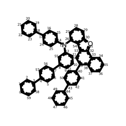 c1ccc(-c2ccc(-c3cccc(N(c4ccc(-c5ccccc5)cc4)c4cccc5oc6c7ccccc7c(-c7ccc(-c8ccccc8)cc7)cc6c45)c3)cc2)cc1